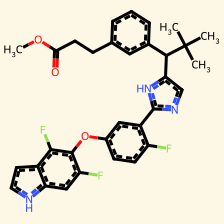 COC(=O)CCc1cccc(C(c2cnc(-c3cc(Oc4c(F)cc5[nH]ccc5c4F)ccc3F)[nH]2)C(C)(C)C)c1